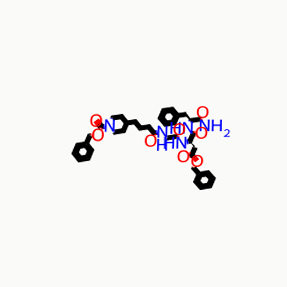 NC(=O)[C@H](Cc1ccccc1)NC(=O)[C@H](CC(=O)OCc1ccccc1)NC(=O)CNC(=O)CCCC1CCN(C(=O)OCc2ccccc2)CC1